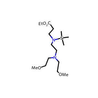 CCOC(=O)CCN(CCN(CCOC)CCOC)[Si](C)(C)C